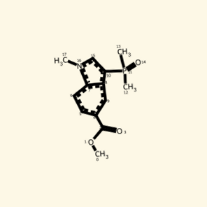 COC(=O)c1ccc2c(c1)c(P(C)(C)=O)cn2C